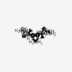 CC1(C)COc2cc(-c3[nH]c([C@@H]4CCCN4C(=O)OC(C)(C)C)nc3C3CC3)ccc2-c2ccc(-c3[nH]c([C@@H]4CCCN4C(=O)OC(C)(C)C)nc3C3CC3)cc2OC1